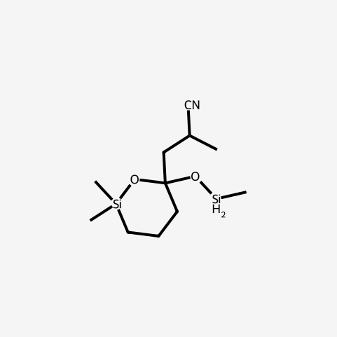 C[SiH2]OC1(CC(C)C#N)CCC[Si](C)(C)O1